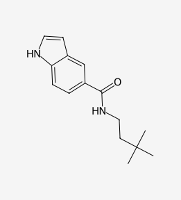 CC(C)(C)CCNC(=O)c1ccc2[nH]ccc2c1